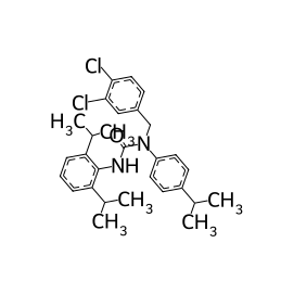 CC(C)c1ccc(N(Cc2ccc(Cl)c(Cl)c2)C(=O)Nc2c(C(C)C)cccc2C(C)C)cc1